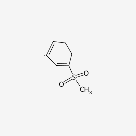 CS(=O)(=O)C1=C[C]=CCC1